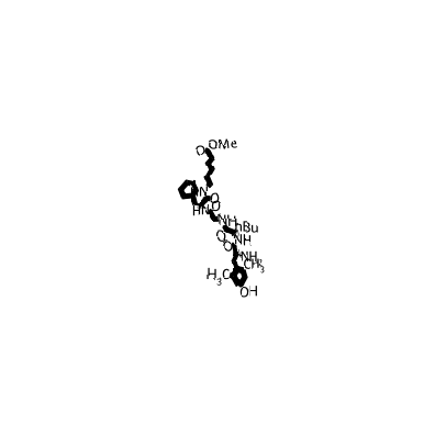 CCCC[C@@H](NC(=O)[C@H](N)Cc1c(C)cc(O)cc1C)C(=O)NCC(=O)N[C@@H](CC1CCCCC1)C(=O)NCCCCCC(=O)OC